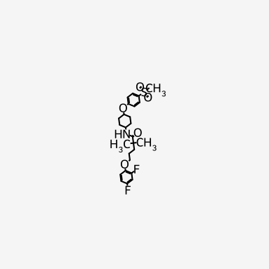 CC(C)(CCCOc1ccc(F)cc1F)C(=O)NC1CCC(Oc2ccc(S(C)(=O)=O)cc2)CC1